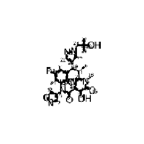 C[C@@H](c1nc(C(=O)Nc2cnoc2)c(O)c(=O)n1C)[C@@H](c1cnn(CC(C)(C)O)c1)c1cc(F)ccc1Cl